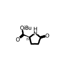 CC(C)COC(=O)[C@@H]1CCC(=O)N1